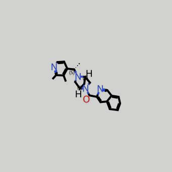 Cc1nccc([C@H](C)N2C[C@@H]3C[C@H]2CN3C(=O)c2cc3ccccc3cn2)c1C